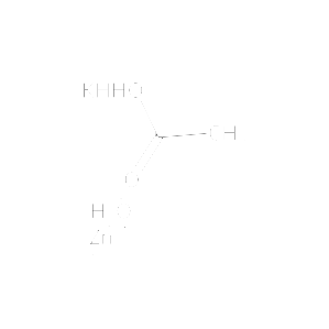 CC(=O)O.O.[KH].[Zn]